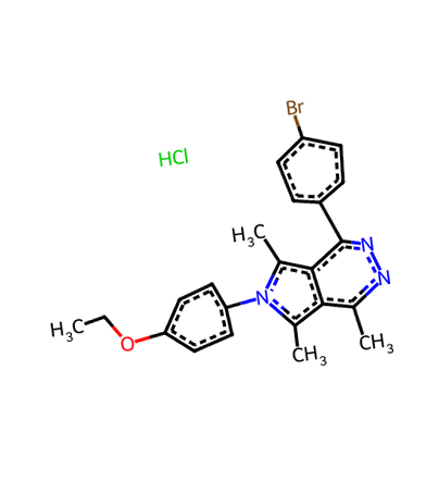 CCOc1ccc(-n2c(C)c3c(C)nnc(-c4ccc(Br)cc4)c3c2C)cc1.Cl